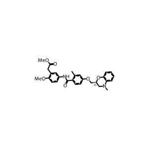 COC(=O)Cc1cc(NC(=O)c2ccc(OC[C@@H]3CN(C)c4ccccc4O3)cc2C)ccc1OC